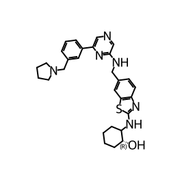 O[C@@H]1CCCCC1Nc1nc2ccc(CNc3cncc(-c4cccc(CN5CCCC5)c4)n3)cc2s1